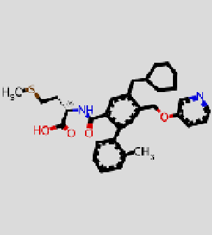 CSCC[C@H](NC(=O)c1cc(CC2CCCCC2)c(COc2cccnc2)cc1-c1ccccc1C)C(=O)O